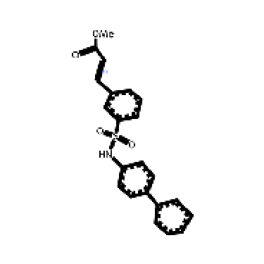 COC(=O)/C=C/c1cccc(S(=O)(=O)Nc2ccc(-c3ccccc3)cc2)c1